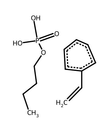 C=Cc1ccccc1.CCCCOP(=O)(O)O